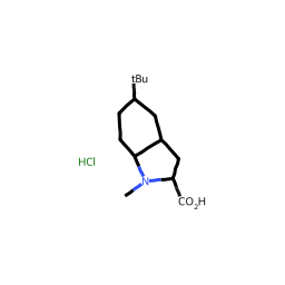 CN1C(C(=O)O)CC2CC(C(C)(C)C)CCC21.Cl